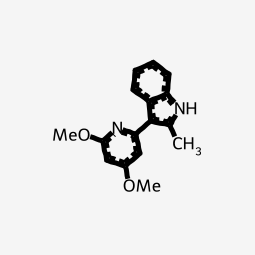 COc1cc(OC)nc(-c2c(C)[nH]c3ccccc23)c1